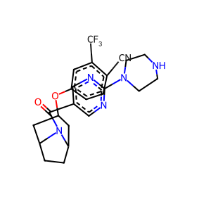 N#Cc1ccc(OC2CC3CCC(C2)N3C(=O)c2cnc(N3CCNCC3)nc2)cc1C(F)(F)F